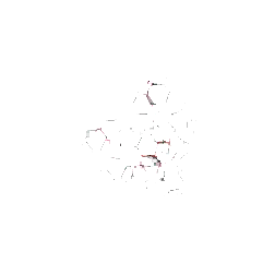 CC(C)(C)c1ccc2c(c1)N(c1c(-c3ccccc3)cccc1-c1ccccc1)c1cc(C3(c4ccccc4)c4ccccc4-c4ccccc43)cc3c1B2c1ccc(C(C)(C)C)cc1N3c1c(-c2ccccc2)cccc1-c1ccccc1